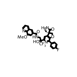 COc1cc(C(=O)NCC(O)(c2cc3c(c(-c4ccc(F)cc4)n2)OC[C@]3(CF)C(N)=O)C(F)(F)F)cc2cccnc12